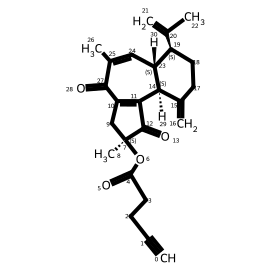 C#CCCC(=O)O[C@@]1(C)CC2=C(C1=O)[C@@H]1C(=C)CC[C@H](C(=C)C)[C@H]1C=C(C)C2=O